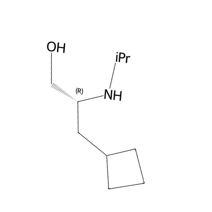 CC(C)N[C@@H](CO)CC1CCC1